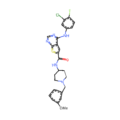 COc1cccc(CN2CCC(NC(=O)c3cc4c(Nc5ccc(F)c(Cl)c5)ncnc4s3)CC2)c1